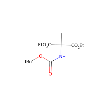 CCOC(=O)C(C)(NC(=O)OC(C)(C)C)C(=O)OCC